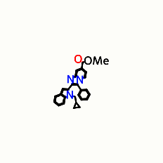 COC(=O)c1ccn2c(-c3ccccc3)c(-c3cc4ccccc4n3CC3CC3)nc2c1